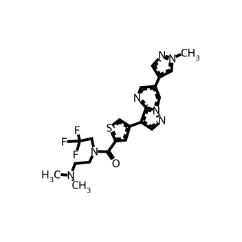 CN(C)CCN(CC(F)(F)F)C(=O)c1cc(-c2cnn3cc(-c4cnn(C)c4)cnc23)cs1